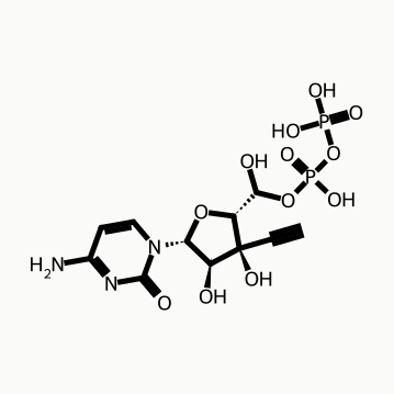 C#C[C@@]1(O)[C@@H](C(O)OP(=O)(O)OP(=O)(O)O)O[C@@H](n2ccc(N)nc2=O)[C@@H]1O